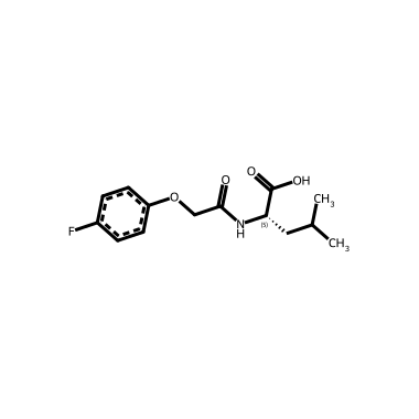 CC(C)C[C@H](NC(=O)COc1ccc(F)cc1)C(=O)O